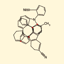 CC1C=c2c3c(n(C4=CCCC=C4)c2=C(c2ccccc2-c2ccccc2-c2cccc4c2c2ccccc2n4-c2ccccc2C#N)C1)CCC(C#N)=C3